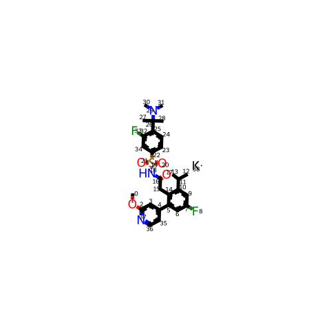 COc1cc(-c2cc(F)cc(C(C)C)c2CC(=O)NS(=O)(=O)c2ccc(C(C)(C)N(C)C)c(F)c2)ccn1.[K]